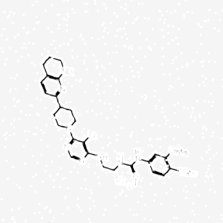 CCc1c(NC[C@H](NC(=O)Nc2ccc(OC)c(OC)c2)C(=O)O)ncnc1N1CCC(c2ccc3c(n2)NCCC3)CC1